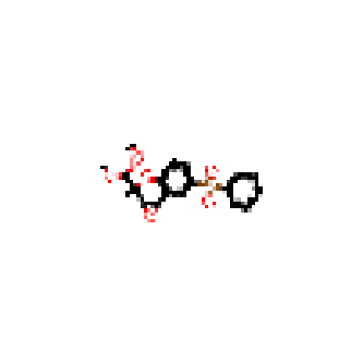 COC(OC)C1(C)Oc2ccc(S(=O)(=O)c3ccccc3)cc2C2OC21